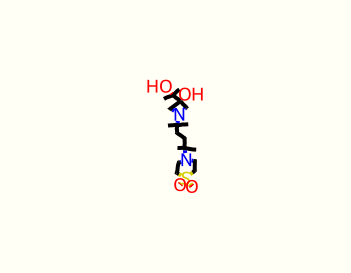 CC(C)(CCC(C)(C)N1CC(O)(C(C)(C)O)C1)N1CCS(=O)(=O)CC1